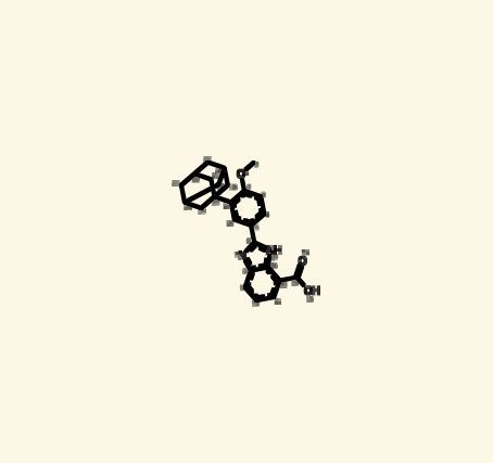 COc1ccc(-c2nc3cccc(C(=O)O)c3[nH]2)cc1C12CC3CC(CC(C3)C1)C2